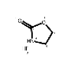 F.O=C1NCCO1